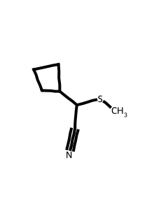 CSC(C#N)C1CCC1